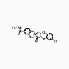 O=C(NO)c1ccc2c(c1)CC[C@@]1(CCN(Cc3cc(Cl)ccc3Cl)C1=O)C2